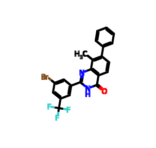 Cc1c(-c2ccccc2)ccc2c(=O)[nH]c(-c3cc(Br)cc(C(F)(F)F)c3)nc12